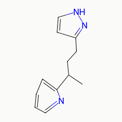 CC(CCc1cc[nH]n1)c1ccccn1